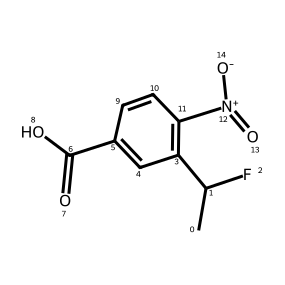 CC(F)c1cc(C(=O)O)ccc1[N+](=O)[O-]